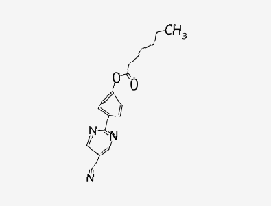 CCCCCCC(=O)Oc1ccc(-c2ncc(C#N)cn2)cc1